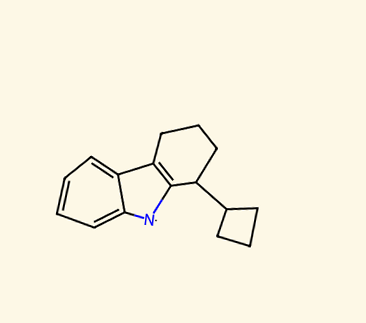 c1ccc2c(c1)[N]C1=C2CCCC1C1CCC1